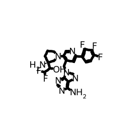 Nc1ncnc2c1ncn2Cc1cc(-c2ccc(F)c(F)c2F)ncc1N1CCC[C@](N)(C(O)C(F)F)C1